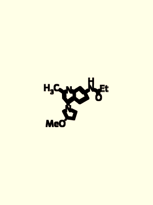 CCC(=O)Nc1ccc2c(N3CC[C@H](OC)C3)cc(C)nc2c1